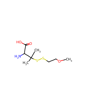 COCCSSC(C)(C)C(N)C(=O)O